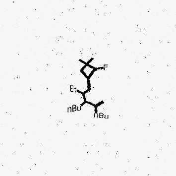 CCCCC(C)C(CCCC)C(CC)CC1CC(C)(C)C1F